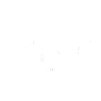 O=C(NC1CCC2CCCC1C2)C(=O)N1CCCC2CCCC=C21.[CH2]